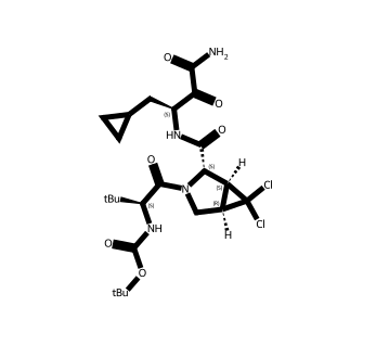 CC(C)(C)OC(=O)N[C@H](C(=O)N1C[C@H]2[C@@H]([C@H]1C(=O)N[C@@H](CC1CC1)C(=O)C(N)=O)C2(Cl)Cl)C(C)(C)C